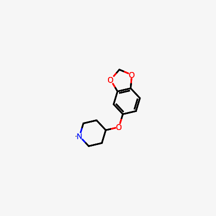 c1cc2c(cc1OC1CC[N]CC1)OCO2